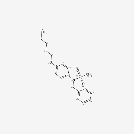 CCCCCOc1ccc(N(Cc2cccnc2)S(C)(=O)=O)cc1